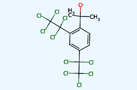 CC(C)([O])c1ccc(C(Cl)(Cl)C(Cl)(Cl)Cl)cc1C(Cl)(Cl)C(Cl)(Cl)Cl